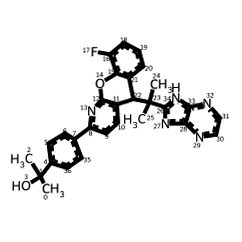 CC(C)(O)c1ccc(-c2ccc3c(n2)Oc2c(F)cccc2C3C(C)(C)c2nc3nccnc3[nH]2)cc1